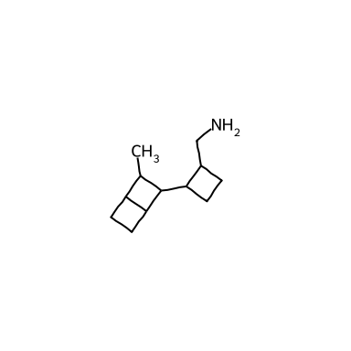 CC1C2CCC2C1C1CCC1CN